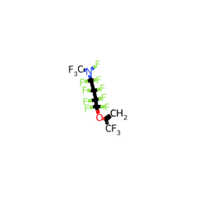 C=C(OC(F)(F)C(F)(F)C(F)(F)C(F)(F)N(F)C(F)(F)F)C(F)(F)F